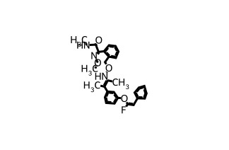 CNC(=O)/C(=N/OC)c1ccccc1CON/C(C)=C(\C)c1cccc(O/C(F)=C\c2ccccc2)c1